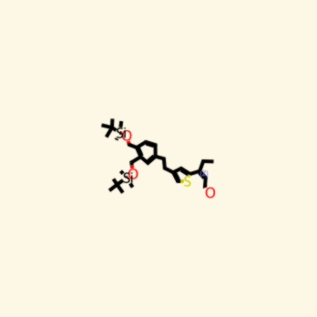 CC/C(=C/C=O)c1cc(CCc2ccc(CO[Si](C)(C)C(C)(C)C)c(CO[Si](C)(C)C(C)(C)C)c2)cs1